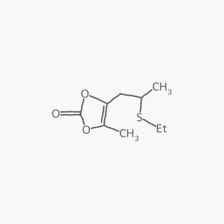 CCSC(C)Cc1oc(=O)oc1C